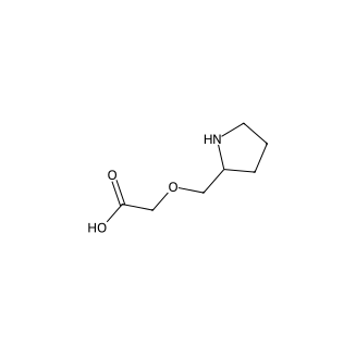 O=C(O)COCC1CCCN1